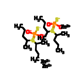 CCCC(C)S(C(C)CCC)=P([O-])([O-])[S-].CCCC(C)S(C(C)CCC)=P([O-])([O-])[S-].[Zn+2].[Zn+2].[Zn+2]